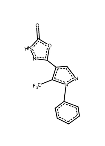 O=c1[nH]nc(-c2cnn(-c3ccccc3)c2C(F)(F)F)o1